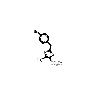 CCOC(=O)c1sc(Cc2ccc(Br)cc2)nc1C(F)(F)F